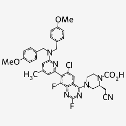 COc1ccc(CN(Cc2ccc(OC)cc2)c2cc(C)cc(-c3c(Cl)cc4c(N5CCN(C(=O)O)[C@@H](CC#N)C5)nc(F)nc4c3F)n2)cc1